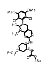 CCOC(=O)[C@@H]1CC[C@@H](Nc2ncc3c(n2)N(C)C(O)N(c2c(Cl)c(OC)cc(OC)c2Cl)C3)[C@@H](NC(=O)OC(C)(C)C)C1